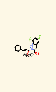 COC(=O)[C@H](Cc1cc(F)cc(F)c1)NC(=O)/C=C/C1CCCCC1